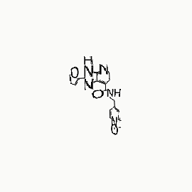 O=C(NCCc1cc[n+]([O-])cc1)c1ccnc2[nH]c(-c3ccco3)nc12